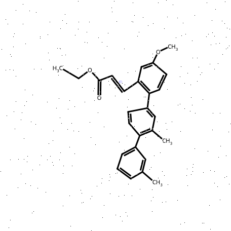 CCOC(=O)/C=C/c1cc(OC)ccc1-c1ccc(-c2cccc(C)c2)c(C)c1